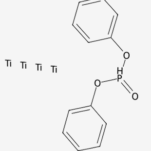 O=[PH](Oc1ccccc1)Oc1ccccc1.[Ti].[Ti].[Ti].[Ti]